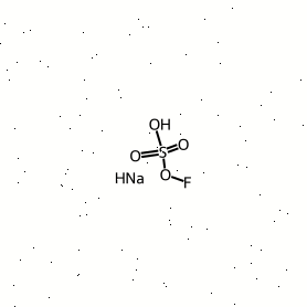 O=S(=O)(O)OF.[NaH]